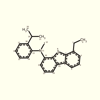 CCc1cccc2c1sc1c(N(I)c3ccccc3C(C)C)cccc12